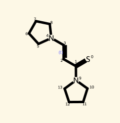 S=C(/C=C/N1CCCC1)N1CCCC1